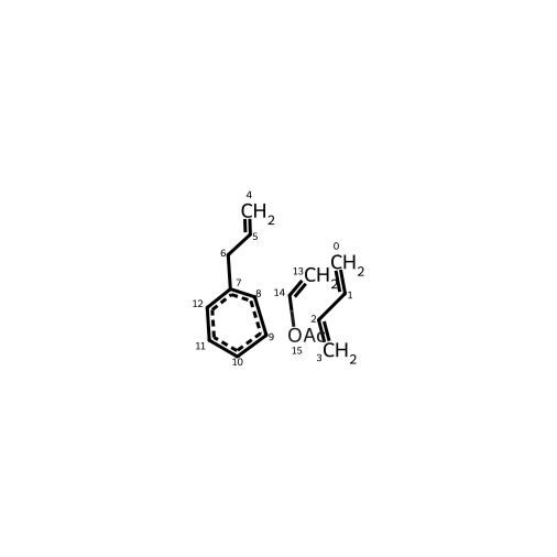 C=CC=C.C=CCc1ccccc1.C=COC(C)=O